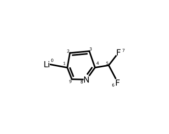 [Li][c]1ccc(C(F)F)nc1